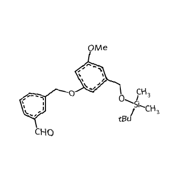 COc1cc(CO[Si](C)(C)C(C)(C)C)cc(OCc2cccc(C=O)c2)c1